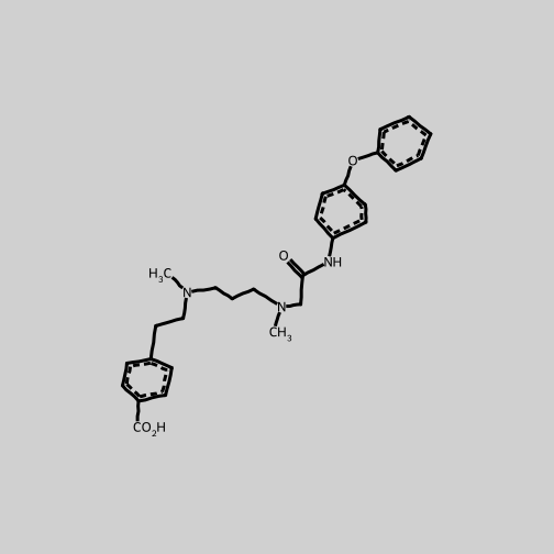 CN(CCCN(C)CC(=O)Nc1ccc(Oc2ccccc2)cc1)CCc1ccc(C(=O)O)cc1